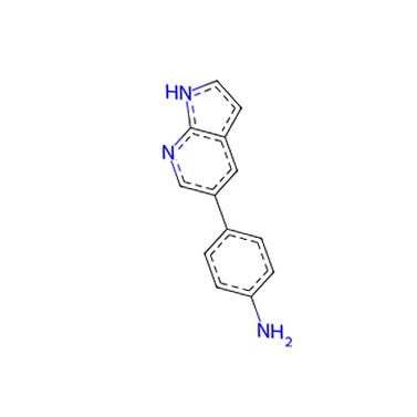 Nc1ccc(-c2cnc3[nH]ccc3c2)cc1